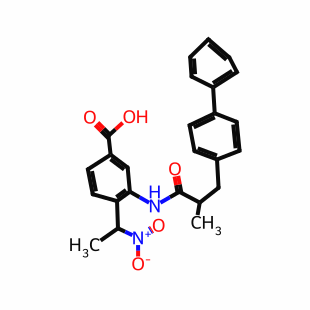 CC(Cc1ccc(-c2ccccc2)cc1)C(=O)Nc1cc(C(=O)O)ccc1C(C)[N+](=O)[O-]